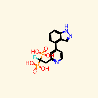 O=P(O)(O)C(F)(Cc1cc(-c2cccc3[nH]ncc23)ccn1)P(=O)(O)O